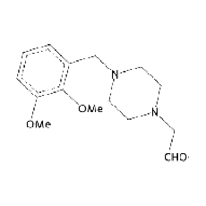 COc1cccc(CN2CCN(C[C]=O)CC2)c1OC